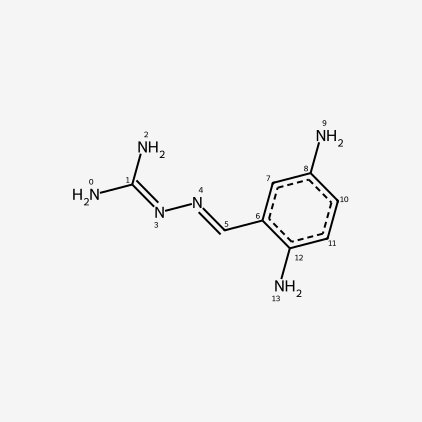 NC(N)=NN=Cc1cc(N)ccc1N